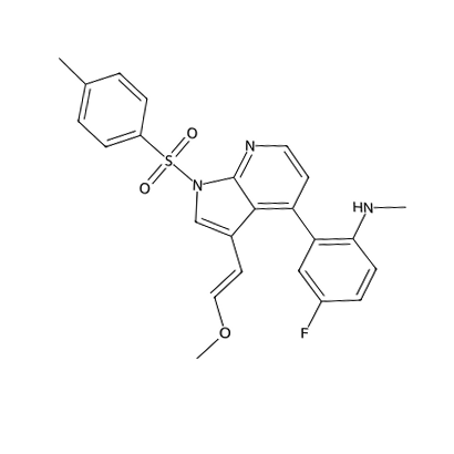 CNc1ccc(F)cc1-c1ccnc2c1c(C=COC)cn2S(=O)(=O)c1ccc(C)cc1